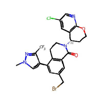 Cn1cc(-c2cc(CBr)cc3c2CCN([C@H]2CCOc4ncc(Cl)cc42)C3=O)c(C(F)(F)F)n1